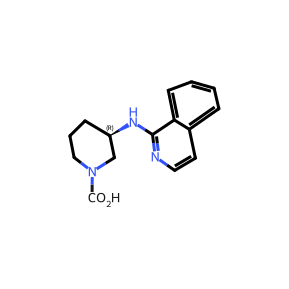 O=C(O)N1CCC[C@@H](Nc2nccc3ccccc23)C1